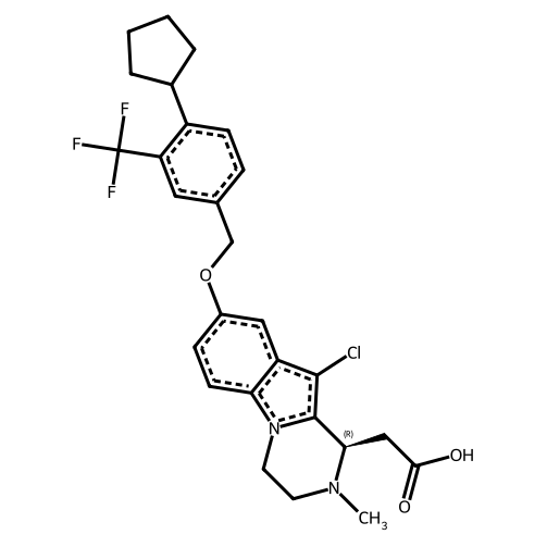 CN1CCn2c(c(Cl)c3cc(OCc4ccc(C5CCCC5)c(C(F)(F)F)c4)ccc32)[C@H]1CC(=O)O